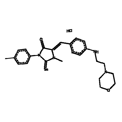 Cc1ccc(N2C(=O)C(=Cc3ccc(NCCN4CCOCC4)cc3)N(C)C2=[Se])cc1.Cl